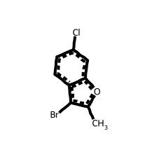 Cc1oc2cc(Cl)ccc2c1Br